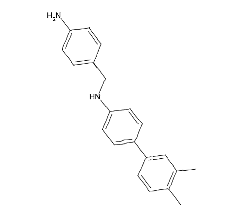 Cc1ccc(-c2ccc(NCc3ccc(N)cc3)cc2)cc1C